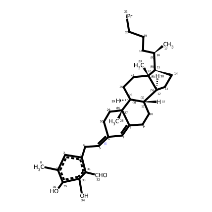 Cc1cc(C/C=C2/C=C3CC[C@H]4[C@@H]5CC[C@H]([C@H](C)CCCC(C)C)[C@@]5(C)CC[C@@H]4[C@@]3(C)CC2)c(C=O)c(O)c1O